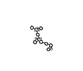 CC1(c2ccccc2)CC(c2ccccc2)=NC(c2ccc(-c3nc4cc(-c5ccc(-c6cccc7oc8ccccc8c67)cc5)ccc4c4c3oc3ccccc34)cc2)=N1